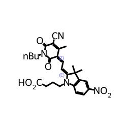 CCCCN1C(=O)C(C#N)=C(C)/C(=C/C=C2/N(CCCC(=O)O)c3ccc([N+](=O)[O-])cc3C2(C)C)C1=O